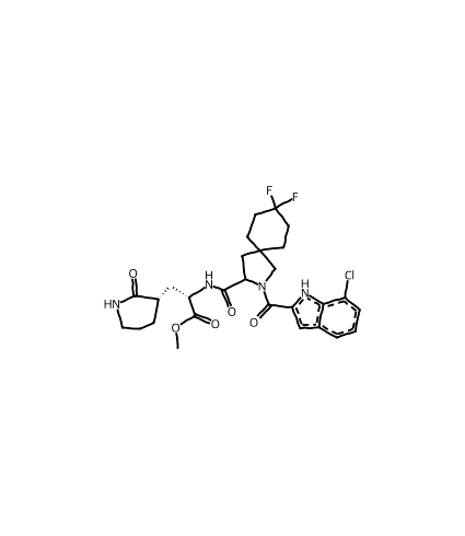 COC(=O)[C@H](C[C@@H]1CCCNC1=O)NC(=O)C1CC2(CCC(F)(F)CC2)CN1C(=O)c1cc2cccc(Cl)c2[nH]1